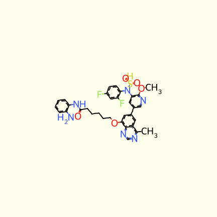 COc1ncc(-c2cc(OCCCCCC(=O)Nc3ccccc3N)c3ncnc(C)c3c2)cc1N(c1ccc(F)cc1F)[SH](=O)=O